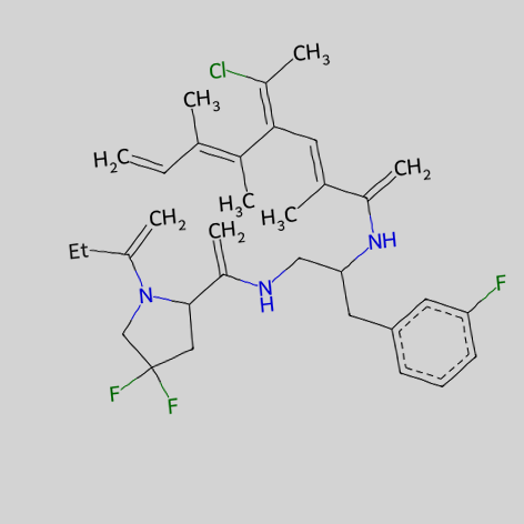 C=C/C(C)=C(C)/C(/C=C(\C)C(=C)NC(CNC(=C)C1CC(F)(F)CN1C(=C)CC)Cc1cccc(F)c1)=C(/C)Cl